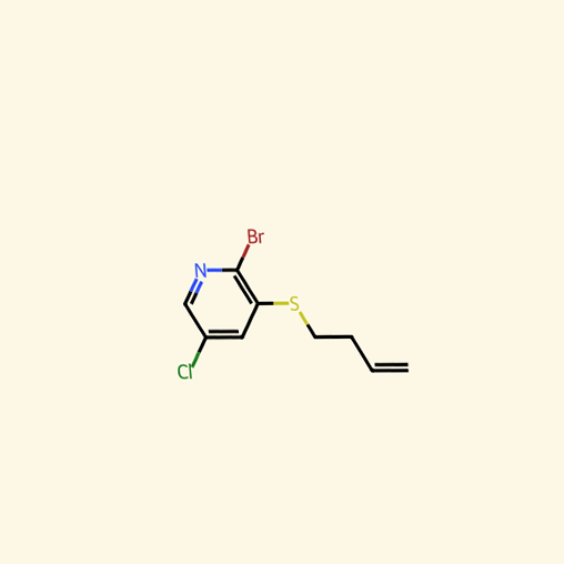 C=CCCSc1cc(Cl)cnc1Br